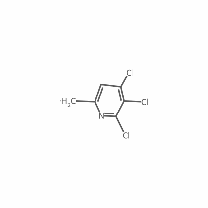 [CH2]c1cc(Cl)c(Cl)c(Cl)n1